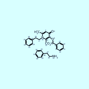 Cc1cc(=O)c(OCc2ccccc2)c(C(=O)O)n1CCc1ccccc1.NCCc1ccccc1